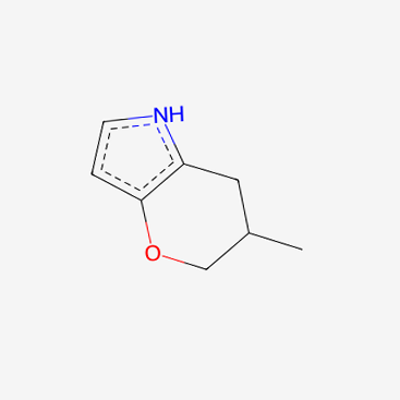 CC1COc2cc[nH]c2C1